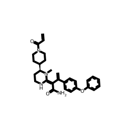 C=CC(=O)N1CCC([C@@H]2CCN/C(=C(/C(=C)c3ccc(Oc4ccccc4)cc3)C(N)=O)N2C)CC1